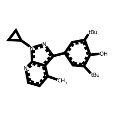 Cc1ccnc2c1c(-c1cc(C(C)(C)C)c(O)c(C(C)(C)C)c1)nn2C1CC1